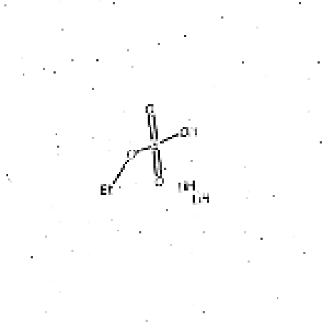 CCOS(=O)(=O)O.[LiH].[LiH]